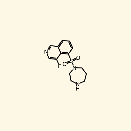 O=S(=O)(c1cccc2cncc(F)c12)N1CCCNCC1